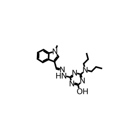 CCCN(CCC)c1nc(O)nc(N/N=C/c2cn(C)c3ccccc23)n1